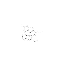 CCCc1cc(C(N)=O)c(-c2ccccc2)c(-c2ccc(O)cc2)c1F